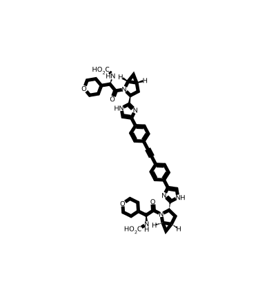 O=C(O)N[C@H](C(=O)N1[C@@H]2C[C@@H]2C[C@H]1c1nc(-c2ccc(C#Cc3ccc(-c4c[nH]c([C@@H]5C[C@H]6C[C@H]6N5C(=O)[C@@H](NC(=O)O)C5CCOCC5)n4)cc3)cc2)c[nH]1)C1CCOCC1